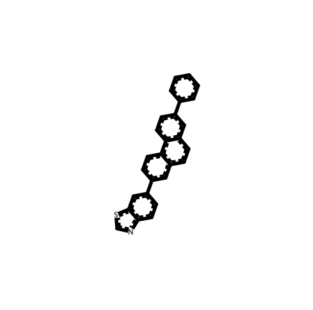 c1ccc(-c2ccc3c(ccc4cc(-c5ccc6ncsc6c5)ccc43)c2)cc1